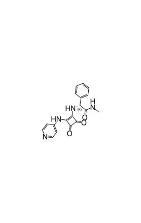 CNC(=O)[C@H](Nc1c(Nc2ccncc2)c(=O)c1=O)c1ccccc1